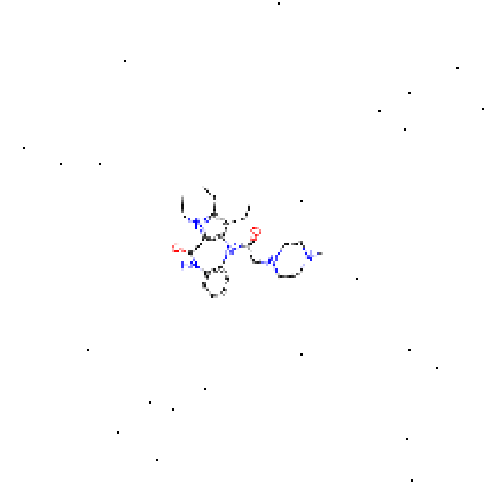 CCc1c2c(n(CC)c1CC)C(=O)Nc1ccccc1N2C(=O)CN1CCN(C)CC1